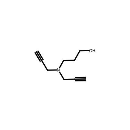 C#CCN(CC#C)CCCO